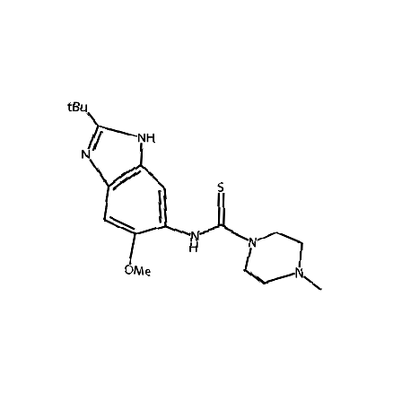 COc1cc2nc(C(C)(C)C)[nH]c2cc1NC(=S)N1CCN(C)CC1